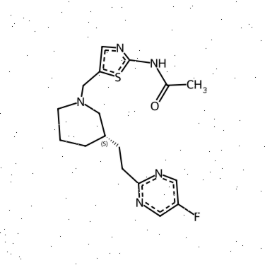 CC(=O)Nc1ncc(CN2CCC[C@@H](CCc3ncc(F)cn3)C2)s1